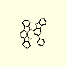 c1ccc(-c2cc(-n3c4ccccc4c4ccc5c6ccccc6[nH]c5c43)c3oc4ccccc4c3c2)cc1